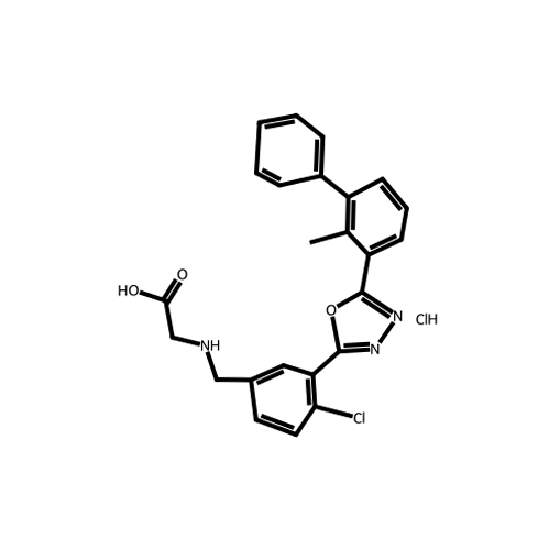 Cc1c(-c2ccccc2)cccc1-c1nnc(-c2cc(CNCC(=O)O)ccc2Cl)o1.Cl